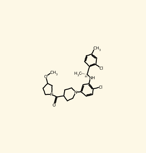 COC1CCN(C(=O)C2CCN(c3ccc(Cl)c(N[C@H](C)c4ccc(C)cc4Cl)c3)CC2)C1